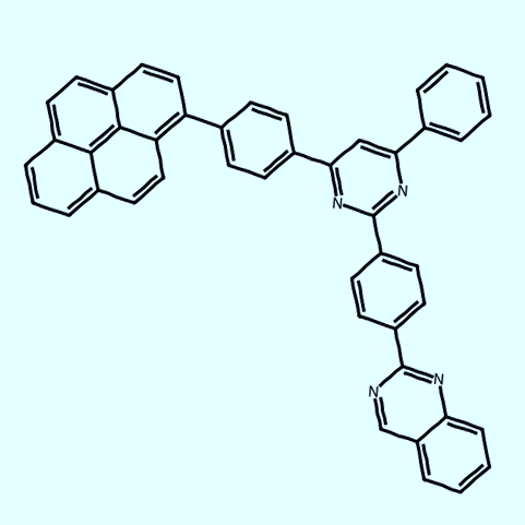 c1ccc(-c2cc(-c3ccc(-c4ccc5ccc6cccc7ccc4c5c67)cc3)nc(-c3ccc(-c4ncc5ccccc5n4)cc3)n2)cc1